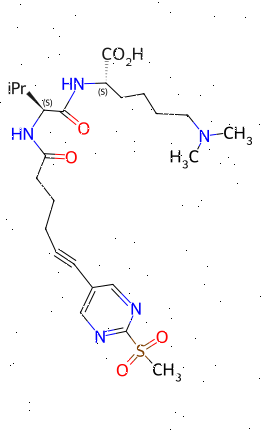 CC(C)[C@H](NC(=O)CCCC#Cc1cnc(S(C)(=O)=O)nc1)C(=O)N[C@@H](CCCCN(C)C)C(=O)O